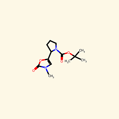 Cn1cc(C2CCCN2C(=O)OC(C)(C)C)oc1=O